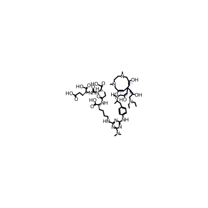 CCN(CC)C/C(O)=C\C1(/C=C(/O)CN(C)C(C)Cc2ccc(Nc3nc(NCCCC[C@H](NC(=O)CC[C@H](NC(=O)N[C@@H](CCC(=O)O)C(=O)O)C(=O)O)C(=O)O)nc(N(C)C)n3)cc2)/C=C(/O)CN(C)CCN(C)C/C(O)=C\1